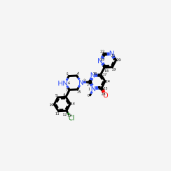 Cn1c(N2CCNC(c3cccc(Cl)c3)C2)nc(-c2ccncn2)cc1=O